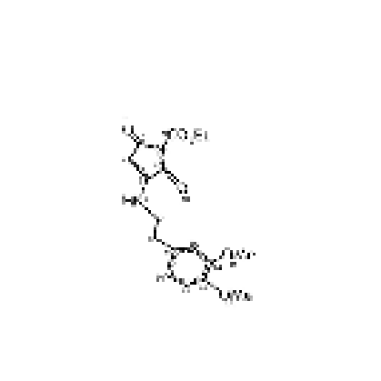 CCOC(=O)N1C(=O)C=C(NCCc2ccc(OC)c(OC)c2)C1=O